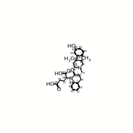 C[C@H]1CN(C[C@H](Cc2ccccc2)C(=O)N[C@@H](CCC(=O)O)C(=O)O)CC[C@@]1(C)c1cccc(O)c1